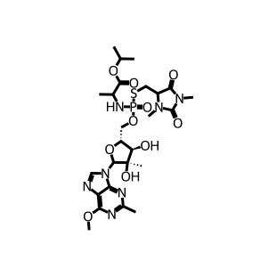 COc1nc(C)nc2c1ncn2C1O[C@H](COP(=O)(NC(C)C(=O)OC(C)C)SCC2C(=O)N(C)C(=O)N2C)[C@@H](O)[C@@]1(C)O